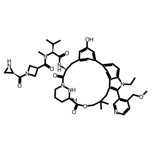 CCn1c(-c2cnccc2COC)c2c3cc(ccc31)-c1cc(O)cc(c1)C[C@H](NC(=O)[C@H](C(C)C)N(C)C(=O)C1CN(C(=O)[C@H]3CN3)C1)C(=O)N1CCC[C@H](N1)C(=O)OCC(C)(C)C2